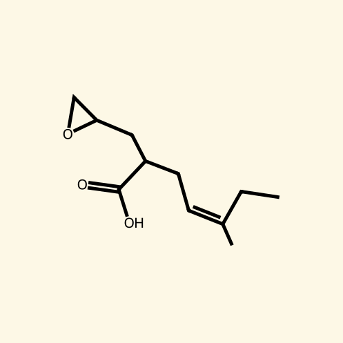 CCC(C)=CCC(CC1CO1)C(=O)O